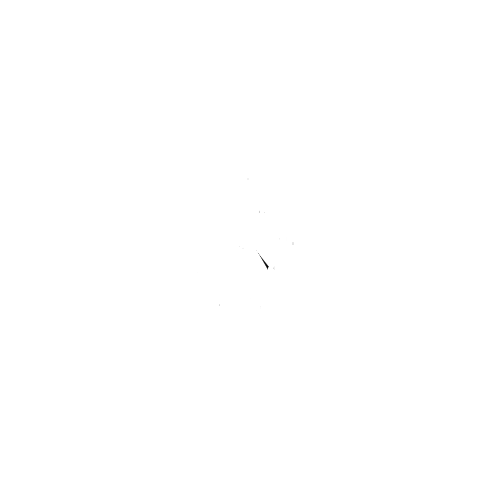 C1CC2CCOC[C@@]23OC3C1